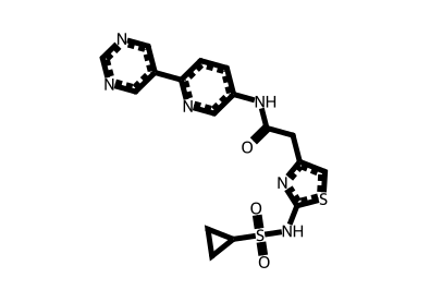 O=C(Cc1csc(NS(=O)(=O)C2CC2)n1)Nc1ccc(-c2cncnc2)nc1